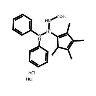 CCCCCCCCCC[NH][Hf]([C]1=C(C)C(C)=C(C)C1C)[SiH](c1ccccc1)c1ccccc1.Cl.Cl